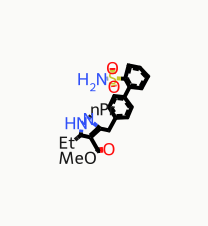 CCCN1NC(CC)C(C(=O)OC)=C1Cc1ccc(-c2ccccc2S(N)(=O)=O)cc1